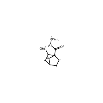 CCCCCOC(=O)C12CCC([CH]C1C=O)C2